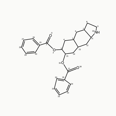 O=C(OC1CC2CC3CCNC3CC2CC1OC(=O)c1ccccc1)c1ccccc1